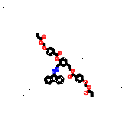 C=CC(=O)OCOc1ccc(C(=O)OCCc2ccc(OC(=O)c3ccc(OCOC(=O)C=C)cc3)c(/C=N/N=C3c4ccccc4-c4ccccc43)c2)cc1